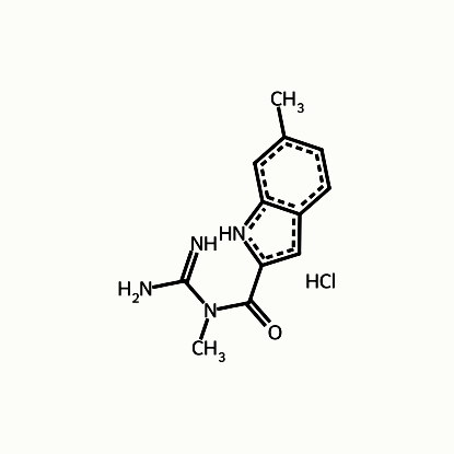 Cc1ccc2cc(C(=O)N(C)C(=N)N)[nH]c2c1.Cl